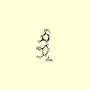 CC(=O)OC[C@H]1O[C@@H](n2ccc(N)nc2=O)C(O)C1O